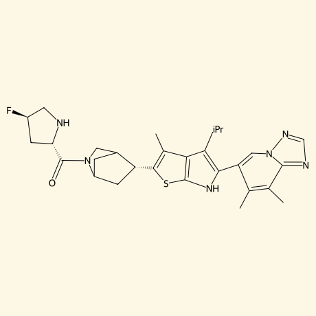 Cc1c(-c2[nH]c3sc([C@@H]4CC5CC4CN5C(=O)[C@@H]4C[C@@H](F)CN4)c(C)c3c2C(C)C)cn2ncnc2c1C